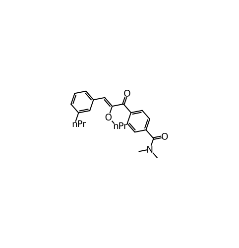 CCCOC(=Cc1cccc(CCC)c1)C(=O)c1ccc(C(=O)N(C)C)cc1